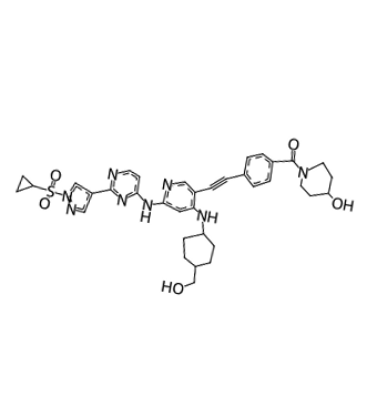 O=C(c1ccc(C#Cc2cnc(Nc3ccnc(-c4cnn(S(=O)(=O)C5CC5)c4)n3)cc2NC2CCC(CO)CC2)cc1)N1CCC(O)CC1